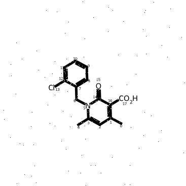 Cc1cc(C)n(Cc2ccccc2Cl)c(=O)c1C(=O)O